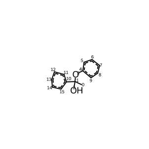 CC(O)(Oc1ccccc1)c1ccccc1